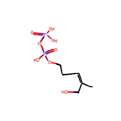 CC(=CCCOP(=O)(O)OP(=O)(O)O)CO